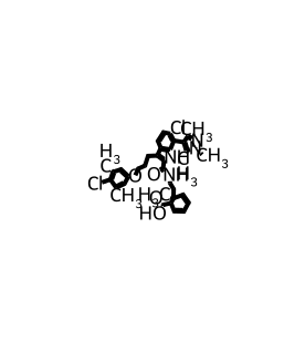 Cc1cc(OCCCc2c(C(=O)NCCC3(C)C=CC=CC3C(=O)O)[nH]c3c(-c4c(C)nn(C)c4C)c(Cl)ccc23)cc(C)c1Cl